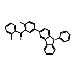 Cc1ccccc1C(=O)c1cc(-c2ccc3c(c2)c2ccccc2n3-c2ccccc2)ccc1C